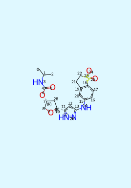 CC(C)NC(=O)O[C@H]1CO[C@@H](c2cc(Nc3ccc4c(c3)CCS4(=O)=O)n[nH]2)C1